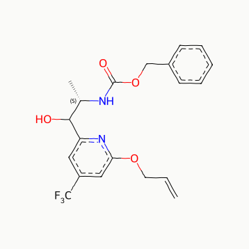 C=CCOc1cc(C(F)(F)F)cc(C(O)[C@H](C)NC(=O)OCc2ccccc2)n1